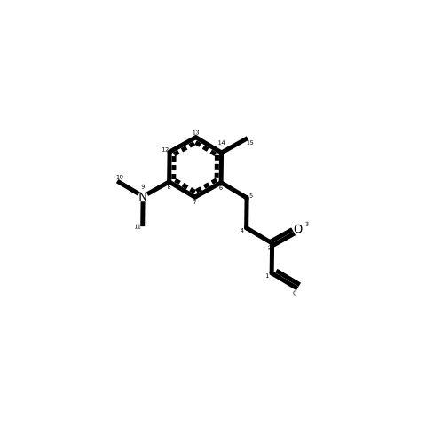 C=CC(=O)CCc1cc(N(C)C)ccc1C